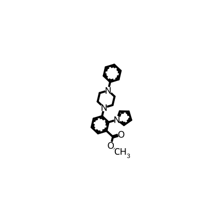 COC(=O)c1cccc(N2CCN(c3ccccc3)CC2)c1-n1cccc1